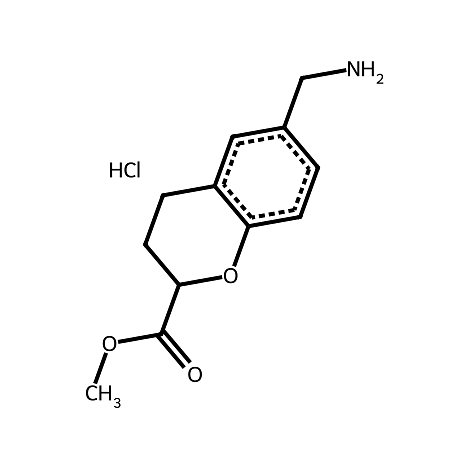 COC(=O)C1CCc2cc(CN)ccc2O1.Cl